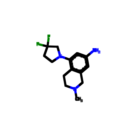 CN1CCc2c(cc(N)cc2N2CCC(F)(F)C2)C1